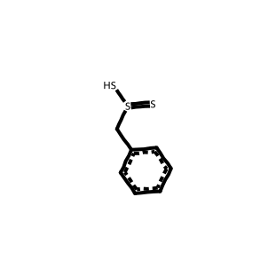 S=S(S)Cc1ccccc1